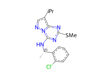 CSc1nc(N[C@@H](C)c2ccccc2Cl)n2ncc(C(C)C)c2n1